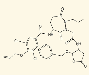 C=CCOc1c(Cl)cc(C(=O)NC2CCC(=O)N(CCC)N(CC(=O)NC3CC(=O)OC3OCc3ccccc3)C2=O)cc1Cl